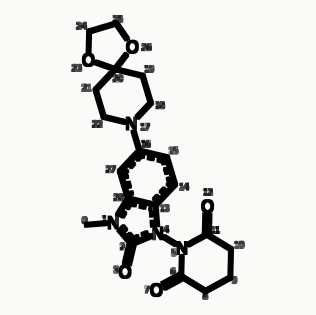 Cn1c(=O)n(N2C(=O)CCCC2=O)c2ccc(N3CCC4(CC3)OCCO4)cc21